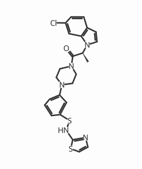 C[C@@H](C(=O)N1CCN(c2cccc(SNc3nccs3)c2)CC1)n1ccc2ccc(Cl)cc21